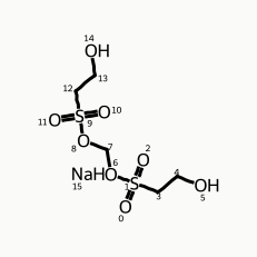 O=S(=O)(CCO)OCOS(=O)(=O)CCO.[NaH]